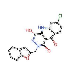 O=c1c2ccc(Cl)cc2[nH]c2c(O)nn(Cc3cc4ccccc4o3)c(=O)c12